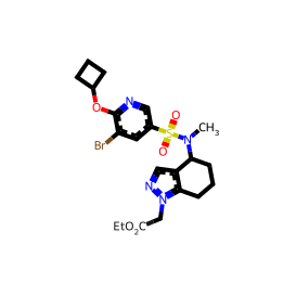 CCOC(=O)Cn1ncc2c1CCCC2N(C)S(=O)(=O)c1cnc(OC2CCC2)c(Br)c1